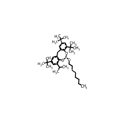 CCCCCCCCOP1Oc2c(cc(C(C)(C)C)cc2C(C)C)Cc2cc(C(C)(C)C)cc(C(C)(C)C)c2O1